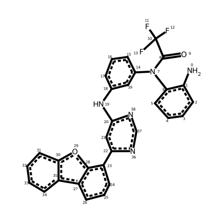 Nc1ccccc1N(C(=O)C(F)(F)F)c1cccc(Nc2cc(-c3cccc4c3oc3ccccc34)ncn2)c1